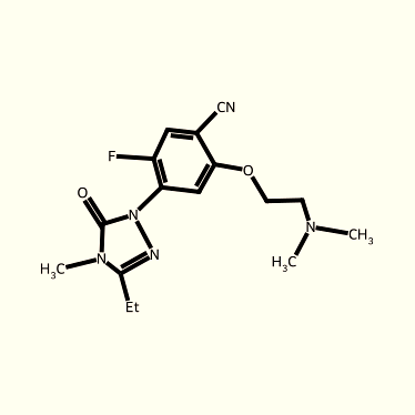 CCc1nn(-c2cc(OCCN(C)C)c(C#N)cc2F)c(=O)n1C